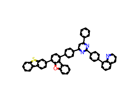 c1ccc(-c2cc(-c3ccc(-c4ccc(-c5ccc6c(c5)sc5ccccc56)c5oc6ccccc6c45)cc3)nc(-c3ccc(-c4cccc5cccnc45)cc3)n2)cc1